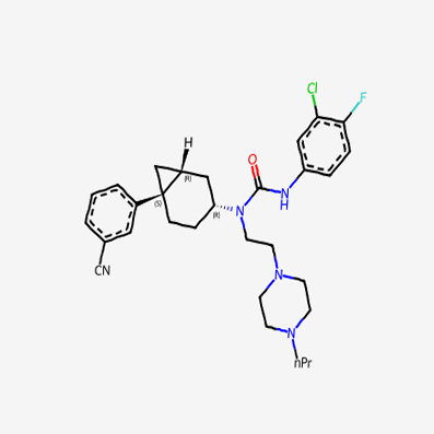 CCCN1CCN(CCN(C(=O)Nc2ccc(F)c(Cl)c2)[C@@H]2CC[C@]3(c4cccc(C#N)c4)C[C@@H]3C2)CC1